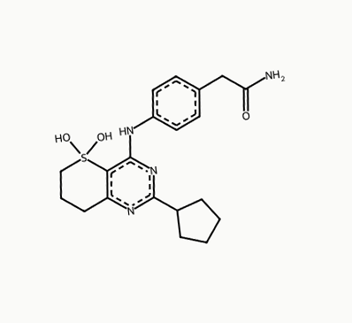 NC(=O)Cc1ccc(Nc2nc(C3CCCC3)nc3c2S(O)(O)CCC3)cc1